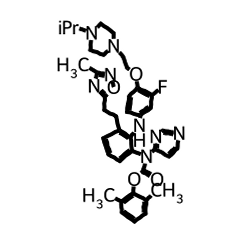 Cc1noc(CCc2cccc(N(C(=O)Oc3c(C)cccc3C)c3ccncn3)c2Nc2ccc(OCCN3CCN(C(C)C)CC3)c(F)c2)n1